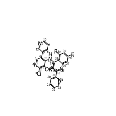 COc1c(Cl)ncc(-c2cccnc2)c1Nc1c(C)c(-c2ccccn2)nc2cc(F)cc(F)c12